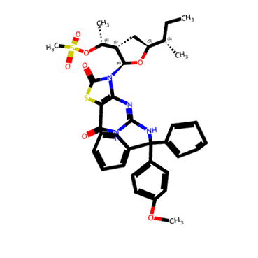 CC[C@H](C)[C@@H]1C[C@@H]([C@@H](C)OS(C)(=O)=O)[C@H](n2c(=O)sc3c(=O)[nH]c(NC(c4ccccc4)(c4ccccc4)c4ccc(OC)cc4)nc32)O1